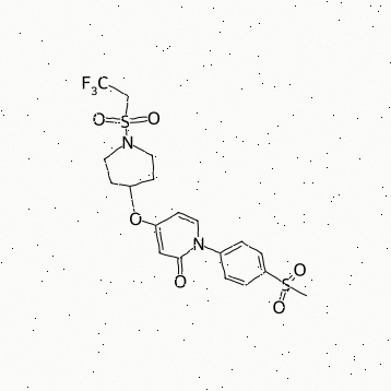 CS(=O)(=O)c1ccc(-n2ccc(OC3CCN(S(=O)(=O)CC(F)(F)F)CC3)cc2=O)cc1